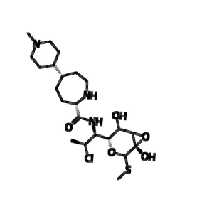 CSC1O[C@H]([C@H](NC(=O)[C@@H]2CC[C@H](C3CCN(C)CC3)CCN2)[C@H](C)Cl)C(O)C2O[C@]12O